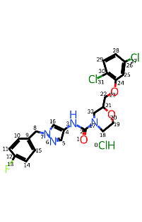 Cl.O=C(Nc1cnn(Cc2ccc(F)cc2)c1)N1CCOC(COc2cc(Cl)ccc2Cl)C1